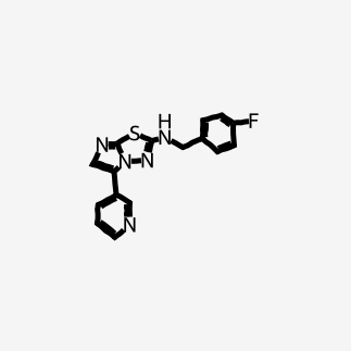 Fc1ccc(CNc2nn3c(-c4cccnc4)cnc3s2)cc1